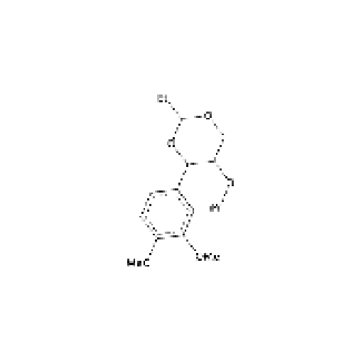 CCC1OCC(OC(C)C)C(c2ccc(OC)c(OC)c2)O1